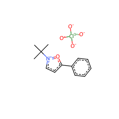 CC(C)(C)[n+]1ccc(-c2ccccc2)o1.[O-][Cl+3]([O-])([O-])[O-]